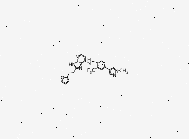 Cn1cc(-c2ccc(CNc3ccnc4[nH]c(CCc5ccco5)nc34)c(C(F)(F)F)c2)cn1